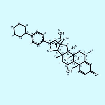 C[C@]12C=CC(=O)C=C1[C@@H](F)C[C@H]1[C@@H]3C[C@H]4CN(c5ccc(C6CCCCC6)cc5)O[C@@]4(C(=O)CO)[C@@]3(C)C[C@H](O)[C@@]12F